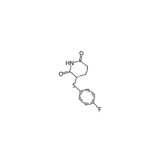 O=C1CCC(Sc2ccc(F)cc2)C(=O)N1